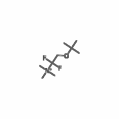 CC(C)(C)OCC(F)(F)[N+](C)(C)C